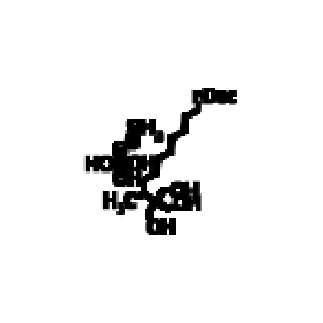 CCCCCCCCCCCCCCCCCCC(C)C(CO)(CO)CO.O[Si](O)(O)OO[SiH3]